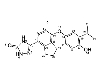 Cc1cc(-c2n[nH]c(=O)[nH]2)c2c(c1Oc1ccc(O)c(C(C)C)c1)CCC2